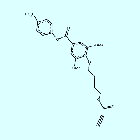 C#CC(=O)OCCCCOc1c(OC)cc(C(=O)Oc2ccc(C(=O)O)cc2)cc1OC